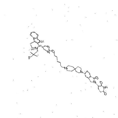 C[C@@H]1Cc2c([nH]c3ccccc23)[C@@H](c2cnc(OCCCCCN3CCC4(CC3)CCN(c3ccc5c(c3)CN(C3CCC(=O)NC3=O)C5=O)CC4)nc2)N1CC(C)(C)F